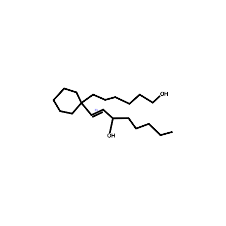 CCCCCC(O)/C=C/C1(CCCCCCO)CCCCC1